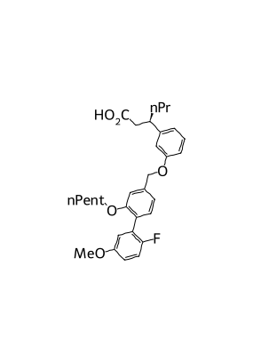 CCCCCOc1cc(COc2cccc([C@H](CCC)CC(=O)O)c2)ccc1-c1cc(OC)ccc1F